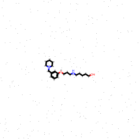 OCCCCCNCCCOc1cccc(CN2CCCCC2)c1